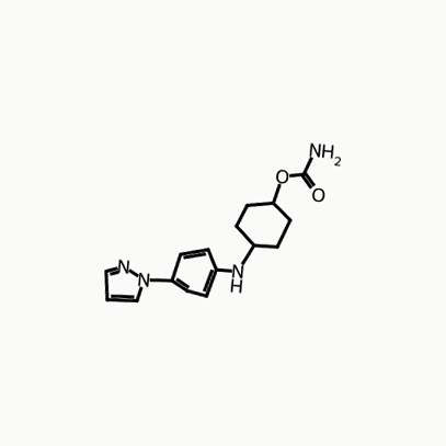 NC(=O)OC1CCC(Nc2ccc(-n3cccn3)cc2)CC1